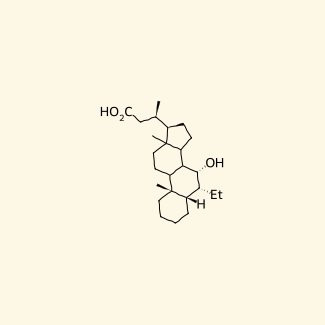 CC[C@H]1[C@@H](O)C2C3CC[C@H]([C@H](C)CC(=O)O)C3(C)CCC2[C@@]2(C)CCCC[C@@H]12